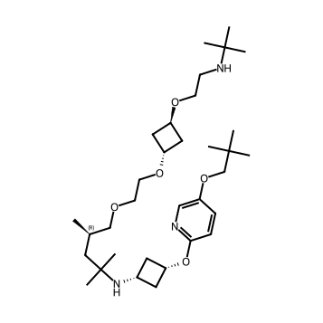 C[C@@H](COCCO[C@H]1C[C@H](OCCNC(C)(C)C)C1)CC(C)(C)N[C@H]1C[C@@H](Oc2ccc(OCC(C)(C)C)cn2)C1